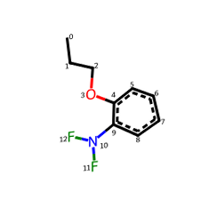 CCCOc1ccccc1N(F)F